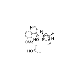 C=C[C@H]1C[N@]2CC[C@H]1C[C@H]2[C@H](O)c1ccnc2ccc(OC)cc12.CCC(=O)O